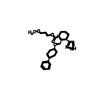 COCCCOC(=O)N1CCC[C@H](c2cc[nH]n2)[C@@H]1CO[C@H]1CC[C@@H](c2ccccc2)CC1